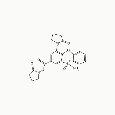 NS(=O)(=O)c1cc(C(=O)ON2CCCC2=O)cc(N2CCCC2=O)c1Oc1ccccc1